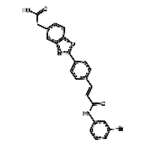 O=C(O)Cc1ccc2oc(-c3ccc(C=CC(=O)Nc4cccc(Br)c4)cc3)nc2c1